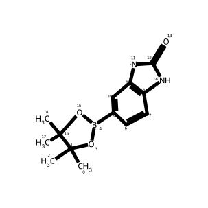 CC1(C)OB(c2ccc3c(c2)[N]C(=O)N3)OC1(C)C